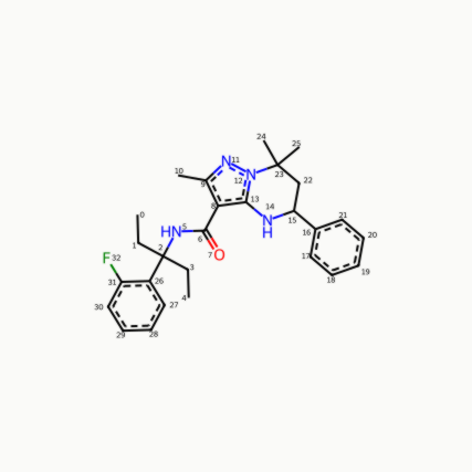 CCC(CC)(NC(=O)c1c(C)nn2c1NC(c1ccccc1)CC2(C)C)c1ccccc1F